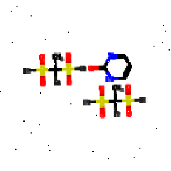 CCC(C)(S(=O)(=O)CC)S(=O)(=O)CC.CCC(C)(S(=O)(=O)CC)S(=O)(=O)CC.O=c1nccc[nH]1